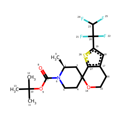 C[C@H]1CC2(CCN1C(=O)OC(C)(C)C)OCCc1cc(C(F)(F)C(F)F)sc12